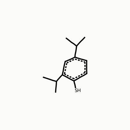 CC(C)c1ccc(S)c(C(C)C)c1